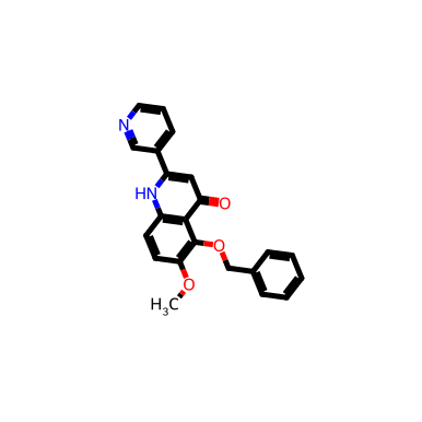 COc1ccc2[nH]c(-c3cccnc3)cc(=O)c2c1OCc1ccccc1